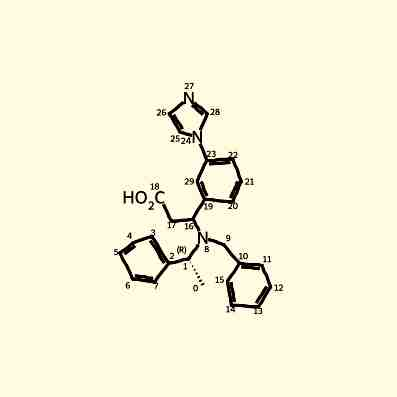 C[C@H](c1ccccc1)N(Cc1ccccc1)C(CC(=O)O)c1cccc(-n2ccnc2)c1